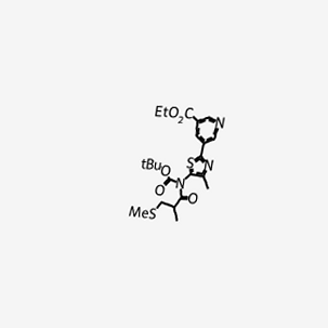 CCOC(=O)c1cncc(-c2nc(C)c(N(C(=O)OC(C)(C)C)C(=O)C(C)CSC)s2)c1